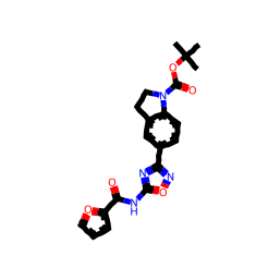 CC(C)(C)OC(=O)N1CCc2cc(-c3noc(NC(=O)c4ccco4)n3)ccc21